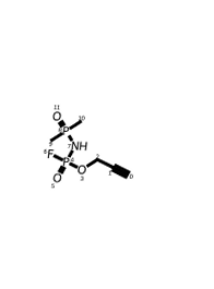 C#CCOP(=O)(F)NP(C)(C)=O